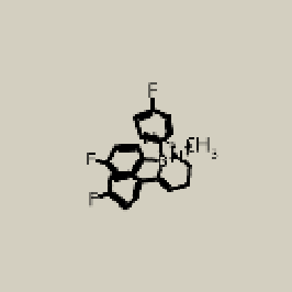 C[N+]1(C)CCC=C(c2ccc(F)cc2)[B-]1(c1ccc(F)cc1)c1ccc(F)cc1